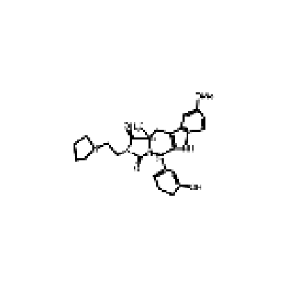 COc1ccc2[nH]c3c(c2c1)C[C@@]1(C)C(=O)N(CCN2CCCC2)C(=O)N1[C@@H]3C1=CCCC(O)=C1